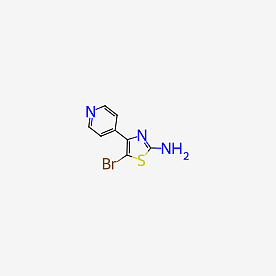 Nc1nc(-c2ccncc2)c(Br)s1